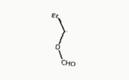 [CH2]C[CH]OC=O